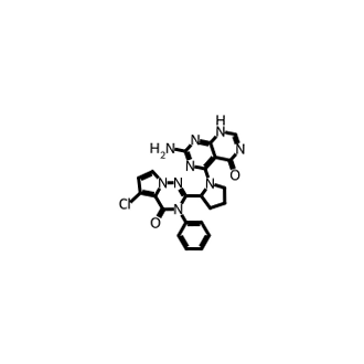 Nc1nc(N2CCCC2c2nn3ccc(Cl)c3c(=O)n2-c2ccccc2)c2c(=O)nc[nH]c2n1